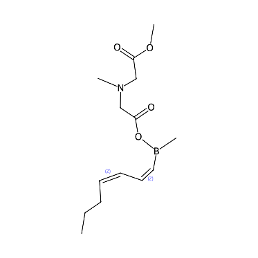 CCC/C=C\C=C/B(C)OC(=O)CN(C)CC(=O)OC